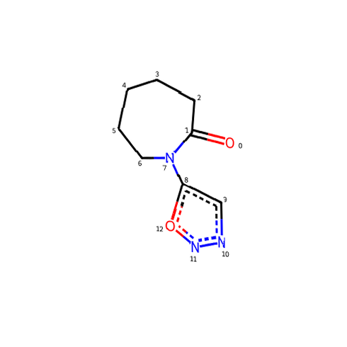 O=C1CCCCCN1c1cnno1